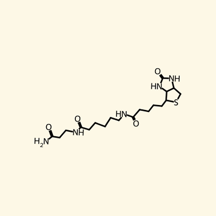 NC(=O)CCNC(=O)CCCCCNC(=O)CCCCC1SCC2NC(=O)NC21